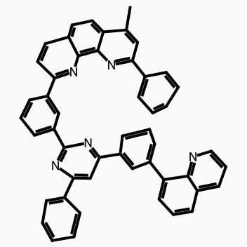 Cc1cc(-c2ccccc2)nc2c1ccc1ccc(-c3cccc(-c4nc(-c5ccccc5)cc(-c5cccc(-c6cccc7cccnc67)c5)n4)c3)nc12